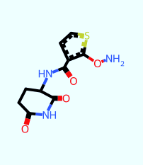 NOc1sccc1C(=O)NC1CCC(=O)NC1=O